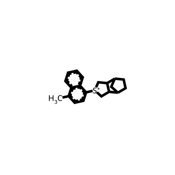 Cc1ccc([S+]2CC3C4CCC(C4)C3C2)c2ccccc12